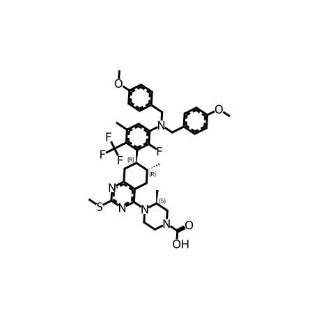 COc1ccc(CN(Cc2ccc(OC)cc2)c2cc(C)c(C(F)(F)F)c([C@@H]3Cc4nc(SC)nc(N5CCN(C(=O)O)C[C@@H]5C)c4C[C@H]3C)c2F)cc1